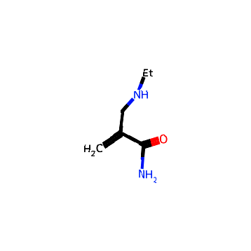 C=C(CNCC)C(N)=O